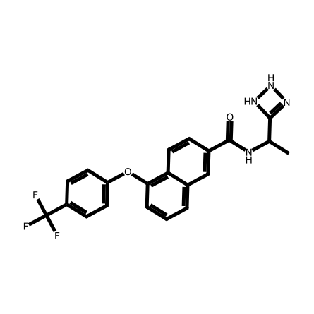 CC(NC(=O)c1ccc2c(Oc3ccc(C(F)(F)F)cc3)cccc2c1)c1n[nH][nH]1